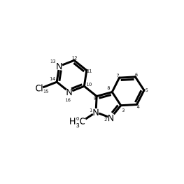 Cn1nc2ccccc2c1-c1ccnc(Cl)n1